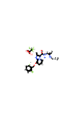 Cc1nc2c(OCc3c(F)cccc3F)cccn2c1C(=O)NCC(C)NC(=O)O.O=C(O)C(F)(F)F